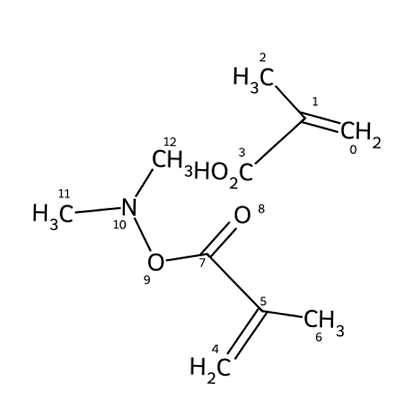 C=C(C)C(=O)O.C=C(C)C(=O)ON(C)C